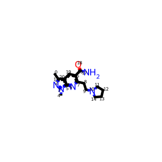 Cc1nn(C)c2nc(CCN3CCCC3)c(C(N)=O)cc12